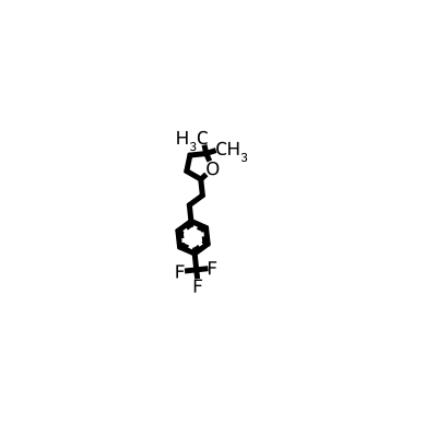 CC1(C)CCC(CCc2ccc(C(F)(F)F)cc2)O1